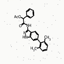 CC(=O)OC(C(=O)Nc1n[nH]c2cc(-c3c(C)cccc3C)ccc12)c1ccccc1